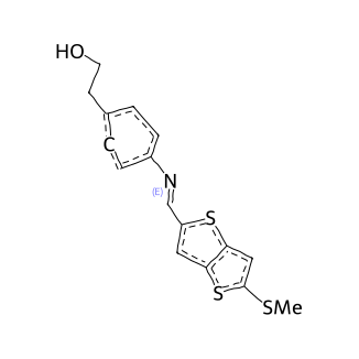 CSc1cc2sc(/C=N/c3ccc(CCO)cc3)cc2s1